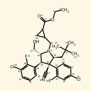 CCOC(=O)C1CC1CN1[C@@H](CC(C)(C)C)[C@](C#N)(c2ccc(Cl)cc2F)[C@@H](c2cccc(Cl)c2F)[C@@H]1CO